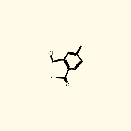 Cc1ccc(C(=O)Cl)c(CCl)c1